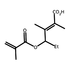 [CH2]CC(OC(=O)C(=C)C)C(C)=C(C)C(=O)O